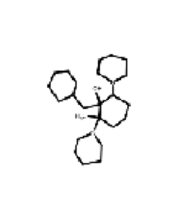 CC1(N2CCCCC2)CCCC(N2CCCCC2)C1(O)CC1CCCCC1